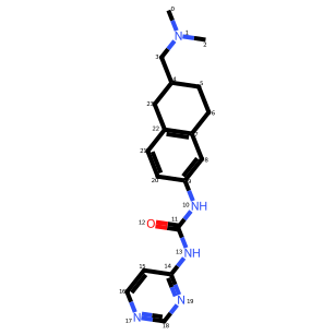 CN(C)CC1CCc2cc(NC(=O)Nc3ccncn3)ccc2C1